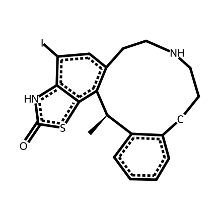 C[C@@H]1c2ccccc2CCCNCCc2cc(I)c3[nH]c(=O)sc3c21